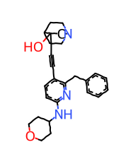 OC1(C#Cc2ccc(NC3CCOCC3)nc2Cc2ccccc2)CN2CCC1CC2